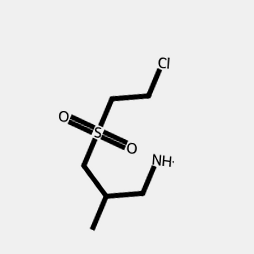 CC(C[NH])CS(=O)(=O)CCCl